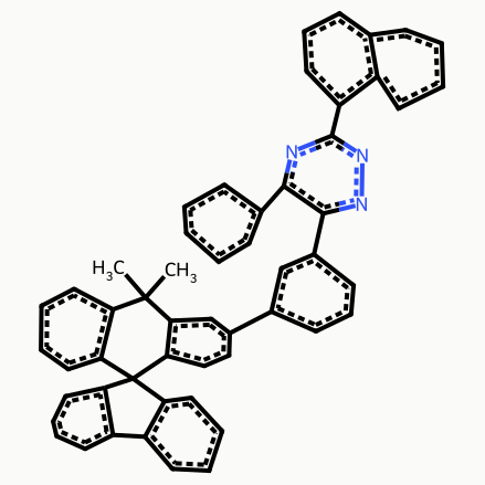 CC1(C)c2ccccc2C2(c3ccccc3-c3ccccc32)c2ccc(-c3cccc(-c4nnc(-c5cccc6ccccc56)nc4-c4ccccc4)c3)cc21